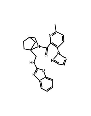 Cc1ccc(-n2nccn2)c(C(=O)N2CC3CCC2(CNc2nc4ccccc4o2)C3)n1